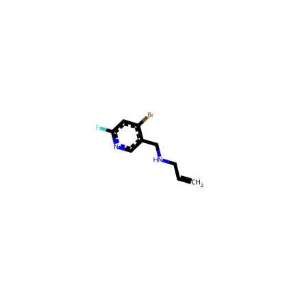 C=CCNCc1cnc(F)cc1Br